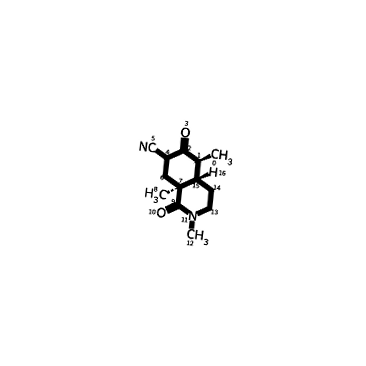 C[C@@H]1C(=O)C(C#N)C[C@]2(C)C(=O)N(C)CC[C@@H]12